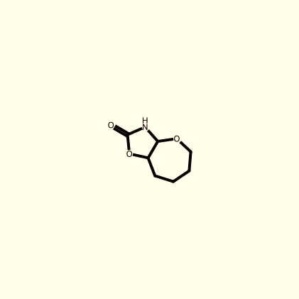 O=C1NC2OCCCCC2O1